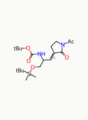 CC(=O)N1CC/C(=C\C(CO[Si](C)(C)C(C)(C)C)NC(=O)OC(C)(C)C)C1=O